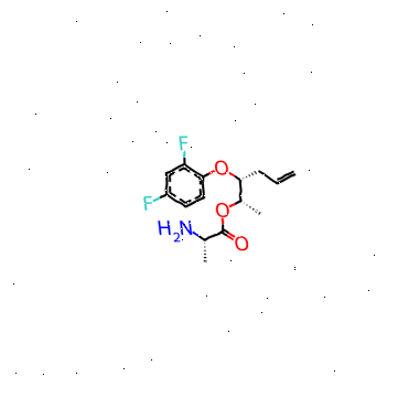 C=CC[C@@H](Oc1ccc(F)cc1F)[C@H](C)OC(=O)[C@H](C)N